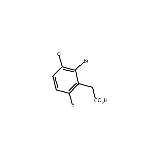 O=C(O)Cc1c(F)ccc(Cl)c1Br